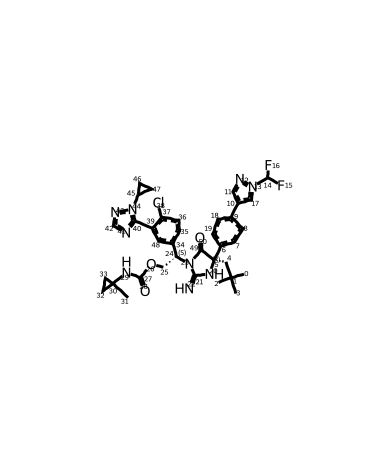 CC(C)(C)C[C@]1(c2ccc(-c3cnn(C(F)F)c3)cc2)NC(=N)N([C@H](COC(=O)NC2(C)CC2)c2ccc(Cl)c(-c3ncnn3C3CC3)c2)C1=O